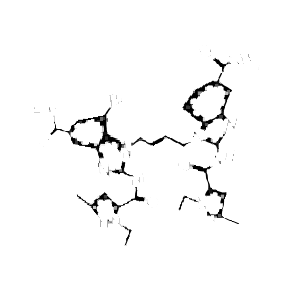 CCn1nc(C)cc1C(=O)Nc1nc2cc(C(N)=O)ccc2n1CC=CCn1c(NC(=O)c2cc(C)nn2CC)nc2cc(C(N)=O)cc(Br)c21